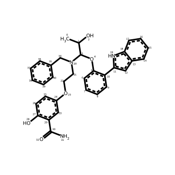 CC(O)C(Oc1ccccc1-c1cc2ccccc2[nH]1)N(CCOc1ccc(O)c(C(N)=O)c1)Cc1ccccc1